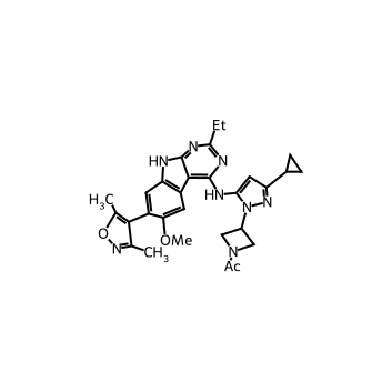 CCc1nc(Nc2cc(C3CC3)nn2C2CN(C(C)=O)C2)c2c(n1)[nH]c1cc(-c3c(C)noc3C)c(OC)cc12